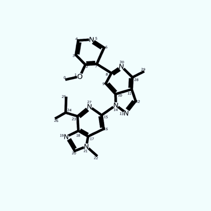 COc1ccncc1-c1cc2c(cnn2-c2cc3c(ncn3C)c(C(C)C)n2)c(C)n1